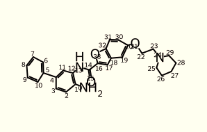 Nc1ccc(-c2ccccc2)cc1NC(=O)c1cc2cc(OCCN3CCCCC3)ccc2o1